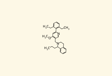 CCCC1c2ccccc2CCN1Cc1cnc(-c2c(CC)cccc2CC)cc1OC